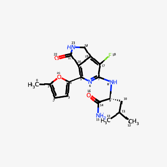 Cc1ccc(-c2nc(N[C@H](CC(C)C)C(N)=O)c(F)c3c2C(=O)NC3)o1